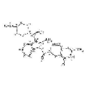 CSc1cc(C)[nH]c(=O)c1CNC(=O)c1c(C)n([C@H](C)[C@H]2CC[C@H](C=O)CC2)c2ccccc12